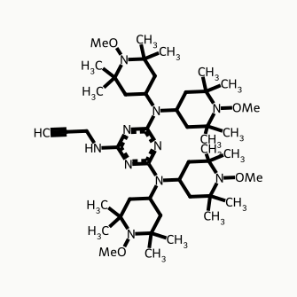 C#CCNc1nc(N(C2CC(C)(C)N(OC)C(C)(C)C2)C2CC(C)(C)N(OC)C(C)(C)C2)nc(N(C2CC(C)(C)N(OC)C(C)(C)C2)C2CC(C)(C)N(OC)C(C)(C)C2)n1